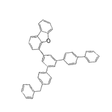 c1ccc(Cc2ccc(-c3cc(-c4ccc(-c5ccccc5)cc4)cc(-c4cccc5c4oc4ccccc45)c3)cc2)cc1